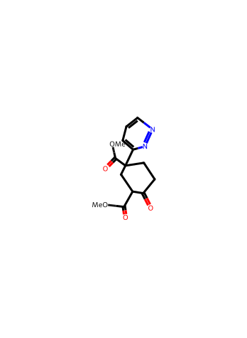 COC(=O)C1CC(C(=O)OC)(c2cccnn2)CCC1=O